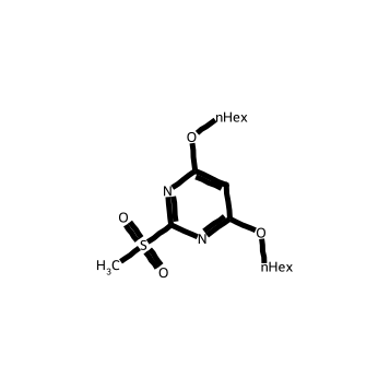 CCCCCCOc1cc(OCCCCCC)nc(S(C)(=O)=O)n1